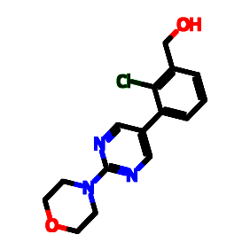 OCc1cccc(-c2cnc(N3CCOCC3)nc2)c1Cl